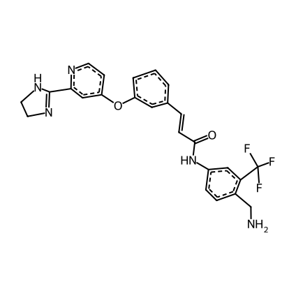 NCc1ccc(NC(=O)/C=C/c2cccc(Oc3ccnc(C4=NCCN4)c3)c2)cc1C(F)(F)F